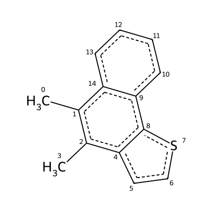 Cc1c(C)c2ccsc2c2ccccc12